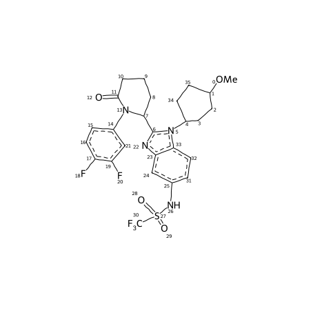 COC1CCC(n2c(C3CCCC(=O)N3c3ccc(F)c(F)c3)nc3cc(NS(=O)(=O)C(F)(F)F)ccc32)CC1